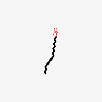 CCCCC#CC#CCCCCCCCCCOC=O